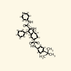 CC(C)(C)c1ccc(NS(=O)(=O)c2ccc3[nH]c(C(=O)Nc4ccncc4)c(-c4ccccc4)c3c2)cc1